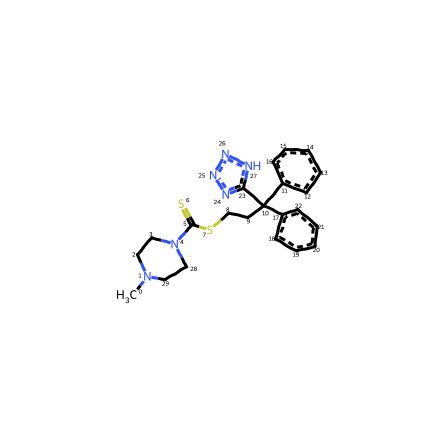 CN1CCN(C(=S)SCCC(c2ccccc2)(c2ccccc2)c2nnn[nH]2)CC1